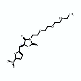 CCNCCOCCOCCN1C(=O)/C(=C/c2ccc([N+](=O)[O-])s2)SC1=S